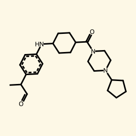 CC(C=O)c1ccc(NC2CCC(C(=O)N3CCN(C4CCCC4)CC3)CC2)cc1